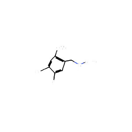 CCCCCCNCc1cc(C)c(C(C)C)cc1OC